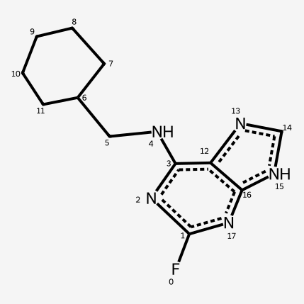 Fc1nc(NCC2CCCCC2)c2nc[nH]c2n1